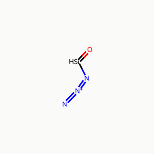 [N-]=[N+]=N[SiH]=O